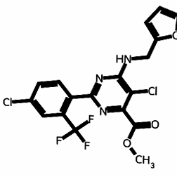 COC(=O)c1nc(-c2ccc(Cl)cc2C(F)(F)F)nc(NCc2ccco2)c1Cl